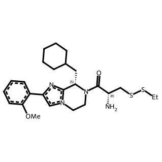 CCSSC[C@H](N)C(=O)N1CCn2cc(-c3ccccc3OC)nc2[C@@H]1CC1CCCCC1